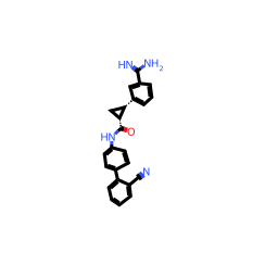 N#Cc1ccccc1-c1ccc(NC(=O)[C@@H]2C[C@@H]2c2cccc(C(=N)N)c2)cc1